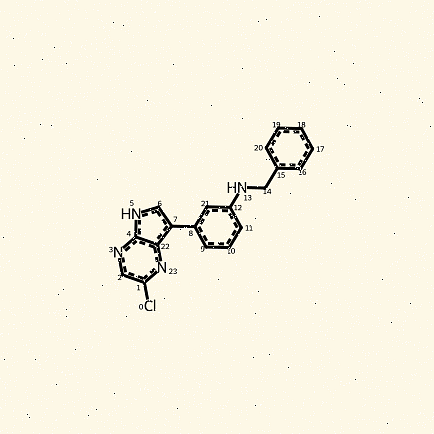 Clc1cnc2[nH]cc(-c3cccc(NCc4ccccc4)c3)c2n1